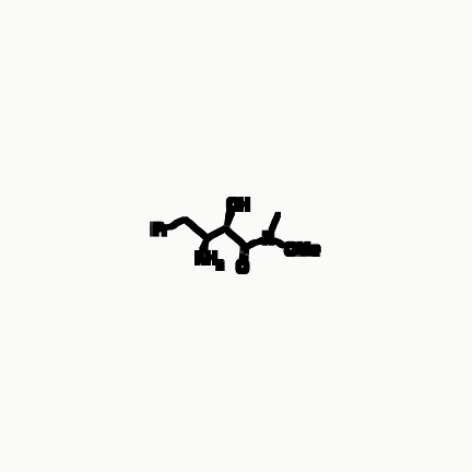 CON(C)C(=O)[C@H](O)[C@@H](N)CC(C)C